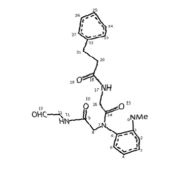 CNc1ccccc1N(CC(=O)NCC=O)C(=O)CNC(=O)CCc1ccccc1